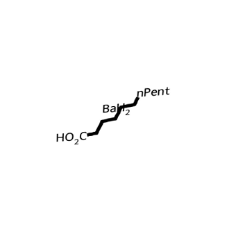 CCCCCCCCCCC(=O)O.[BaH2]